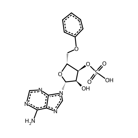 Nc1ncnc2c1ncn2[C@@H]1O[C@H](COc2ccccc2)[C@@H](OS(=O)(=O)O)[C@H]1O